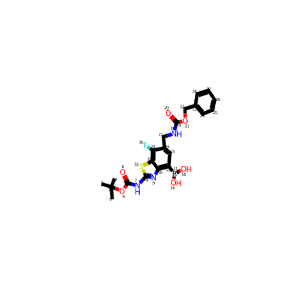 CC(C)(C)OC(=O)Nc1nc2c(B(O)O)cc(CNC(=O)OCc3ccccc3)c(F)c2s1